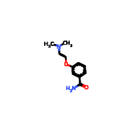 CN(C)CCOc1cccc(C(N)=O)c1